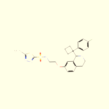 CNc1nnc(S(=O)(=O)NCCOc2ccc3c(c2)C(C2(c4ccc(Cl)cc4)CCC2)NCC3)s1